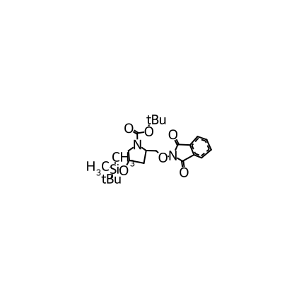 CC(C)(C)OC(=O)N1CC(O[Si](C)(C)C(C)(C)C)CC1CON1C(=O)c2ccccc2C1=O